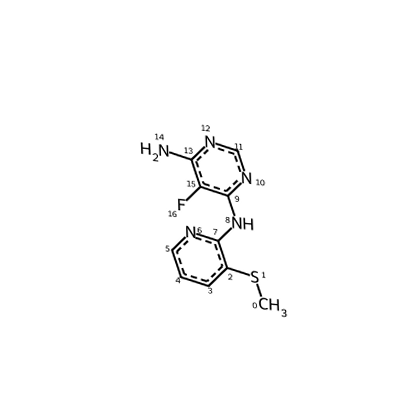 CSc1cccnc1Nc1ncnc(N)c1F